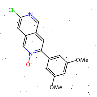 COc1cc(OC)cc(-c2cc3cnc(Cl)cc3c[n+]2[O-])c1